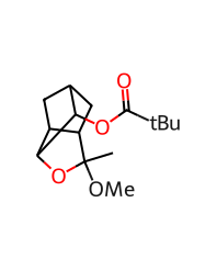 COC1(C)OC2C3CC(CC31)C2OC(=O)C(C)(C)C